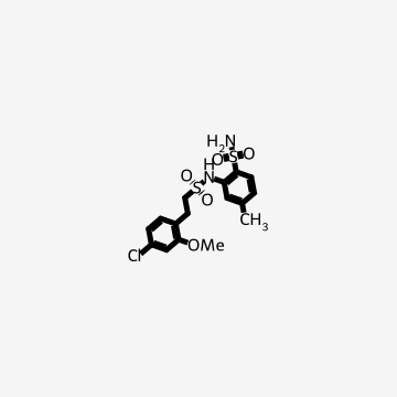 COc1cc(Cl)ccc1CCS(=O)(=O)Nc1cc(C)ccc1S(N)(=O)=O